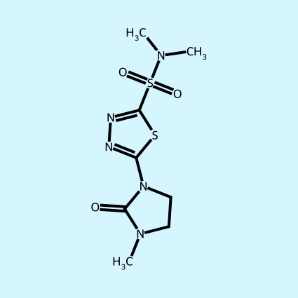 CN1CCN(c2nnc(S(=O)(=O)N(C)C)s2)C1=O